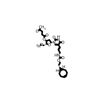 [2H]OC[C@H]1O[C@@H](n2cc(/C=C/CNC(=O)OCC[C@H]3[C@@H]4CCC#CCC[C@@H]43)c(=O)[nH]c2=O)CC1OC(=O)CCC(C)=O